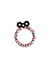 c1ccc2c(c1)-c1ccccc1C21COCCOCCOCCOCCOCCOCCOCCO1